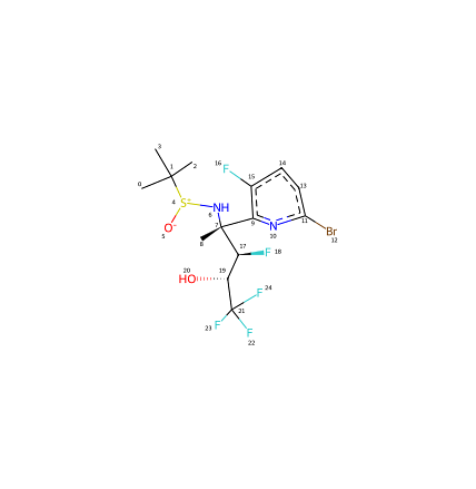 CC(C)(C)[S+]([O-])N[C@](C)(c1nc(Br)ccc1F)[C@@H](F)[C@@H](O)C(F)(F)F